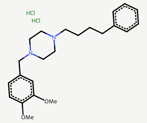 COc1ccc(CN2CCN(CCCCc3ccccc3)CC2)cc1OC.Cl.Cl